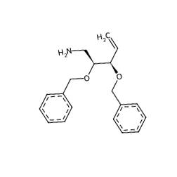 C=C[C@@H](OCc1ccccc1)[C@H](CN)OCc1ccccc1